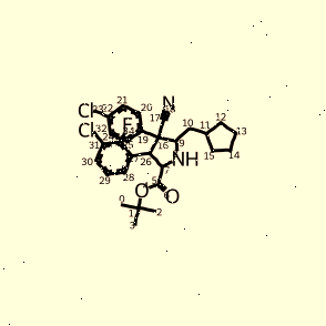 CC(C)(C)OC(=O)C1NC(CC2CCCC2)C(C#N)(c2ccc(Cl)cc2)C1c1cccc(Cl)c1F